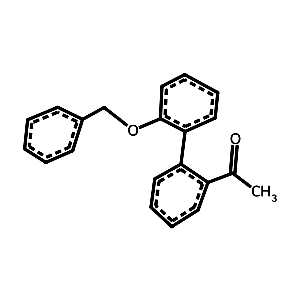 CC(=O)c1ccccc1-c1ccccc1OCc1ccccc1